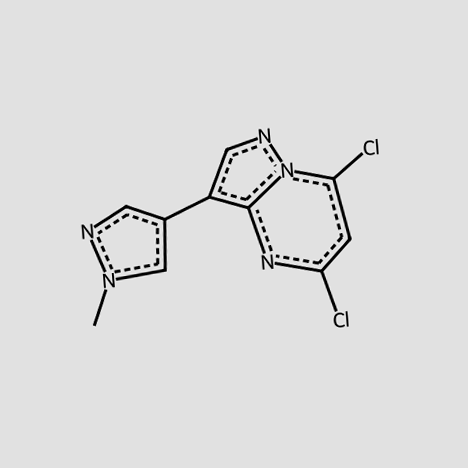 Cn1cc(-c2cnn3c(Cl)cc(Cl)nc23)cn1